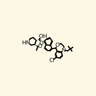 CC(=O)[C@H]1CNCC[C@@H]1C(=O)O.CC(C)(C)CN1CCOC(c2cccc3ccccc23)c2cc(Cl)ccc21